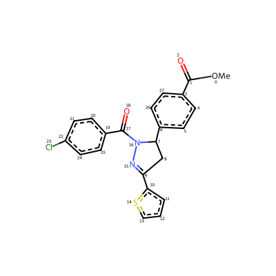 COC(=O)c1ccc(C2CC(c3cccs3)=NN2C(=O)c2ccc(Cl)cc2)cc1